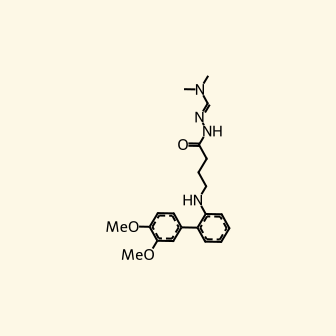 COc1ccc(-c2ccccc2NCCCC(=O)NN=CN(C)C)cc1OC